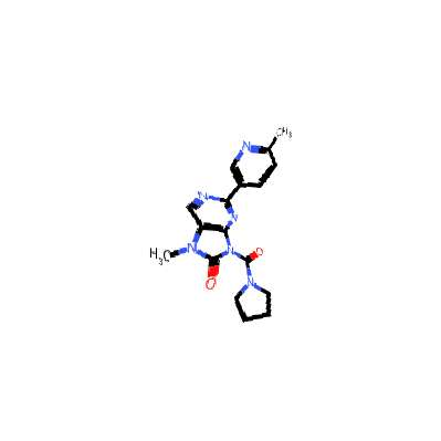 Cc1ccc(-c2ncc3c(n2)n(C(=O)N2CCCC2)c(=O)n3C)cn1